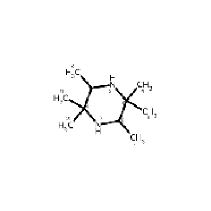 CC1NC(C)(C)C(C)NC1(C)C